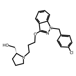 OC[C@H]1CCCN1CCCOc1nn(Cc2ccc(Cl)cc2)c2ccccc12